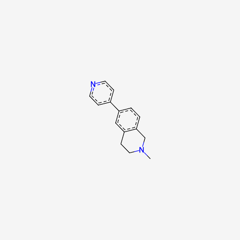 CN1CCc2cc(-c3ccncc3)ccc2C1